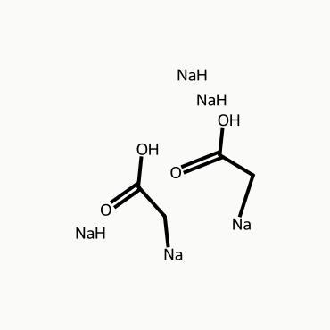 O=C(O)[CH2][Na].O=C(O)[CH2][Na].[NaH].[NaH].[NaH]